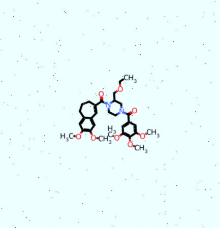 CCOCC1CN(C(=O)c2cc(OC)c(OC)c(OC)c2)CCN1C(=O)C1=Cc2cc(OC)c(OC)cc2CCC1